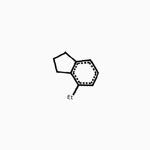 CCc1cccc2c1CC[CH]2